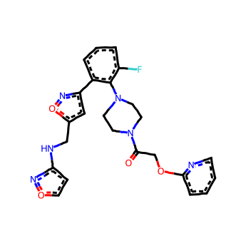 O=C(COc1ccccn1)N1CCN(c2c(F)cccc2-c2cc(CNc3ccon3)on2)CC1